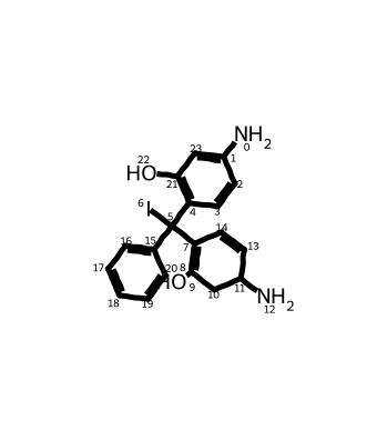 Nc1ccc(C(I)(C2=C(O)CC(N)C=C2)c2ccccc2)c(O)c1